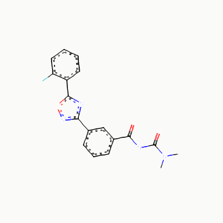 CCN(CC)C(=O)NC(=O)c1cccc(-c2noc(-c3ccccc3F)n2)c1